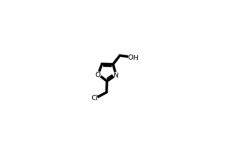 OCc1coc(CCl)n1